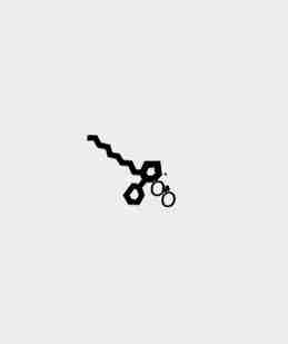 CCCCCCCCCc1cc[c]c(OC=O)c1C1CCCCC1